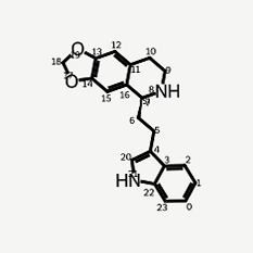 c1ccc2c(CC[C@@H]3NCCc4cc5c(cc43)OCO5)c[nH]c2c1